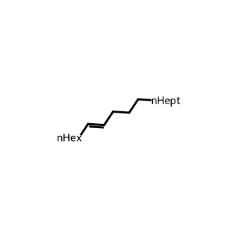 [CH2]CCCCCC=CCCCCCCCCCC